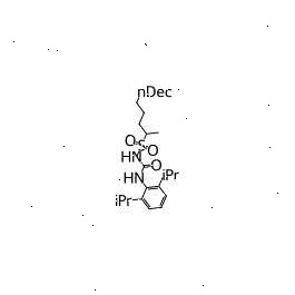 CCCCCCCCCCCCCC(C)S(=O)(=O)NC(=O)Nc1c(C(C)C)cccc1C(C)C